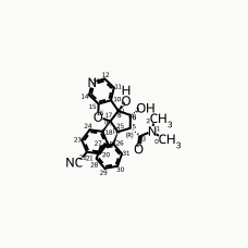 CN(C)C(=O)[C@H]1[C@@H](O)[C@@]2(O)c3ccncc3O[C@@]2(c2ccc(C#N)cc2)[C@@H]1c1ccccc1